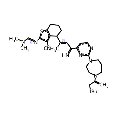 C=C(CC(C)(C)C)N1CCCN(c2nccc(C(=N)/C=C(\C)C3CCCc4sc(/N=C/N(C)C)c(C#N)c43)n2)CC1